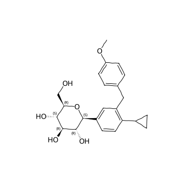 COc1ccc(Cc2cc([C@@H]3O[C@H](CO)[C@@H](O)[C@H](O)[C@H]3O)ccc2C2CC2)cc1